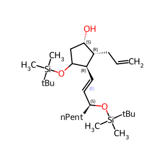 C=CC[C@H]1[C@@H](O)CC(O[Si](C)(C)C(C)(C)C)[C@@H]1/C=C/[C@H](CCCCC)O[Si](C)(C)C(C)(C)C